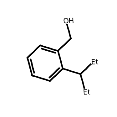 CCC(CC)c1ccccc1CO